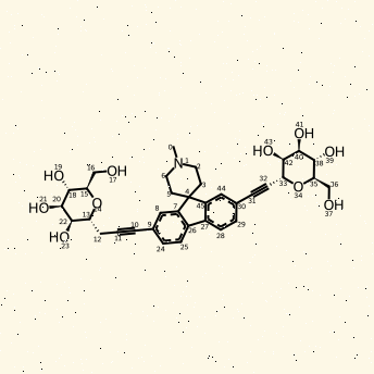 CN1CCC2(CC1)c1cc(C#CC[C@H]3O[C@H](CO)[C@@H](O)[C@H](O)[C@@H]3O)ccc1-c1ccc(C#C[C@H]3O[C@H](CO)[C@@H](O)[C@H](O)[C@@H]3O)cc12